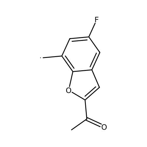 [CH2]c1cc(F)cc2cc(C(C)=O)oc12